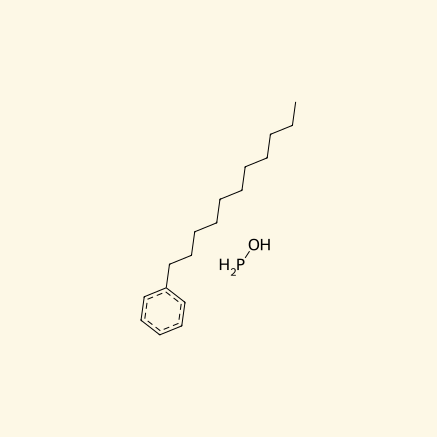 CCCCCCCCCCCc1ccccc1.OP